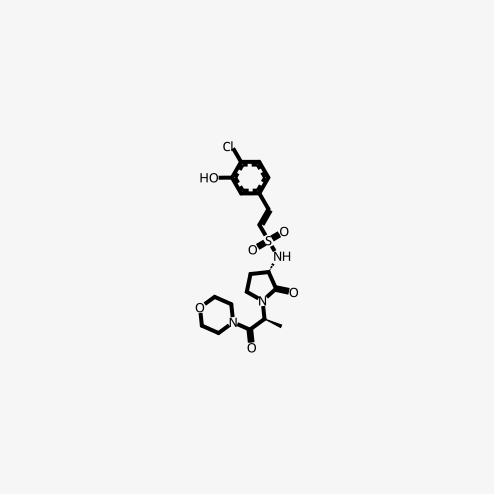 C[C@@H](C(=O)N1CCOCC1)N1CC[C@H](NS(=O)(=O)/C=C/c2ccc(Cl)c(O)c2)C1=O